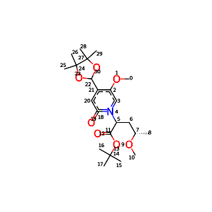 COc1cn(C(C[C@H](C)OC)C(=O)OC(C)(C)C)c(=O)cc1C1OC(C)(C)C(C)(C)O1